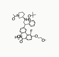 COCCOc1ccc(C(N)=O)c(-c2cc(C(CN(C(=O)OC(C)(C)C)[C@@H]3CCCN(C(C)=O)C3)c3ccccc3)ccc2Cl)c1F